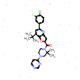 CC(C)(C)c1cc(-c2ccc(Cl)c(F)c2)nc2cc(C(=O)N3CCN(c4ccncn4)CC3(C)C)oc12